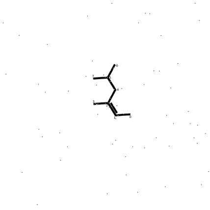 CC=C(C)CC(C)C